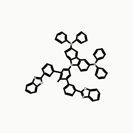 Cc1c(-c2cccc(-c3nc4ccccc4o3)c2)cc(-n2c3ccc(N(c4ccccc4)c4ccccc4)cc3c3cc(N(c4ccccc4)c4ccccc4)ccc32)cc1-c1cccc(-c2nc3ccccc3o2)c1